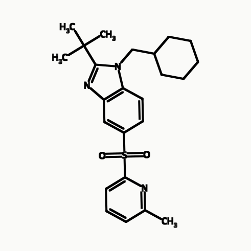 Cc1cccc(S(=O)(=O)c2ccc3c(c2)nc(C(C)(C)C)n3CC2CCCCC2)n1